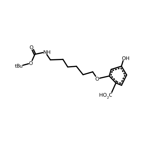 CC(C)(C)OC(=O)NCCCCCCOc1cc(O)ccc1C(=O)O